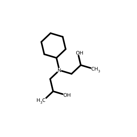 CC(O)CN(CC(C)O)C1CCCCC1